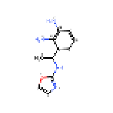 CC(Nc1ncco1)c1cccc(N)c1N